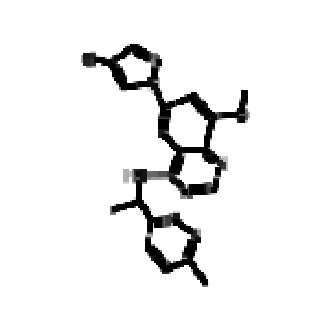 COc1cc(-n2cc(Cl)cn2)cc2c(NC(C)c3ccc(C)nn3)ncnc12